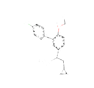 O=C(O)C(CC1CC1)c1ccc(OCC(F)(F)F)c(-c2ccc(Cl)cc2)c1